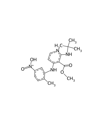 COC(=O)c1c(Nc2cc([N+](=O)O)ccc2C)ccnc1NC(C)(C)C